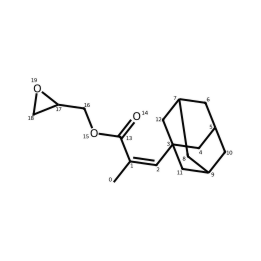 CC(=CC12CC3CC(CC(C3)C1)C2)C(=O)OCC1CO1